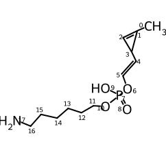 CC1=CC1/C=C/OP(=O)(O)OCCCCCCN